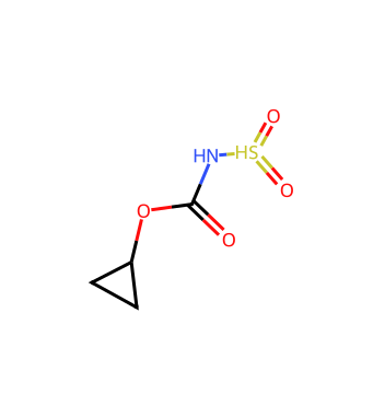 O=C(N[SH](=O)=O)OC1CC1